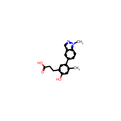 Cc1cc(O)c(CCC(=O)O)cc1-c1ccc2c(cnn2C)c1